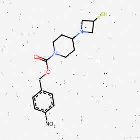 O=C(OCc1ccc([N+](=O)[O-])cc1)N1CCC(N2CC(S)C2)CC1